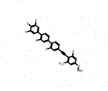 CCCCOc1cc(C)c(C#Cc2ccc(-c3ccc(-c4cc(F)c(F)c(F)c4)c(F)c3)c(F)c2)c(F)c1